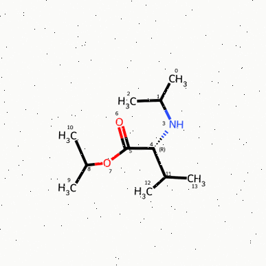 CC(C)N[C@@H](C(=O)OC(C)C)C(C)C